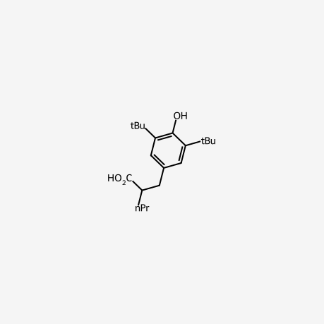 CCCC(Cc1cc(C(C)(C)C)c(O)c(C(C)(C)C)c1)C(=O)O